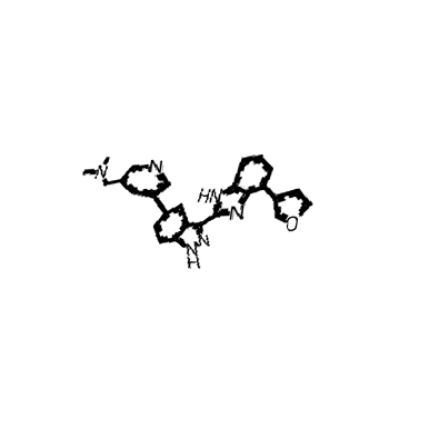 CN(C)Cc1cncc(-c2ccc3[nH]nc(-c4nc5c(-c6ccoc6)cccc5[nH]4)c3c2)c1